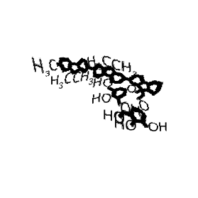 Cc1ccc2c(c1)C(C)(C)c1cc(-c3ccc4c(c3)C(C)(C)c3cc(-c5ccc6c(c5)C(CCOc5cc(CO)c(O)c(CO)c5)(COc5cc(CO)c(O)c(CO)c5)c5ccccc5-6)ccc3-4)ccc1-2